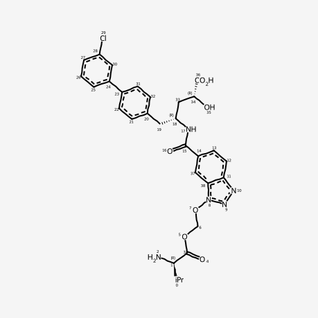 CC(C)[C@@H](N)C(=O)OCOn1nnc2ccc(C(=O)N[C@H](Cc3ccc(-c4cccc(Cl)c4)cc3)C[C@@H](O)C(=O)O)cc21